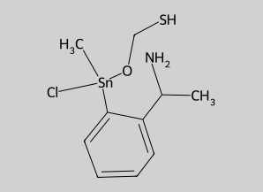 CC(N)c1cccc[c]1[Sn]([CH3])([Cl])[O]CS